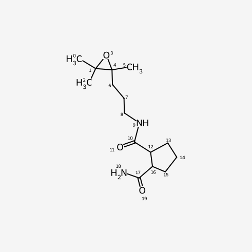 CC1(C)OC1(C)CCCNC(=O)C1CCCC1C(N)=O